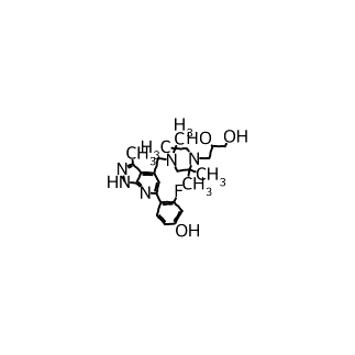 Cc1n[nH]c2nc(-c3ccc(O)cc3F)cc(CN3CC(C)(C)N(CC(O)CO)CC3(C)C)c12